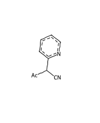 CC(=O)C(C#N)c1ccccn1